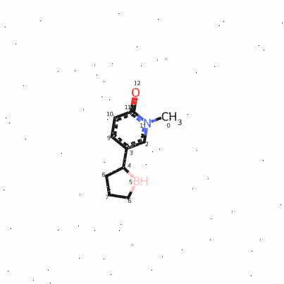 Cn1cc(C2BCCC2)ccc1=O